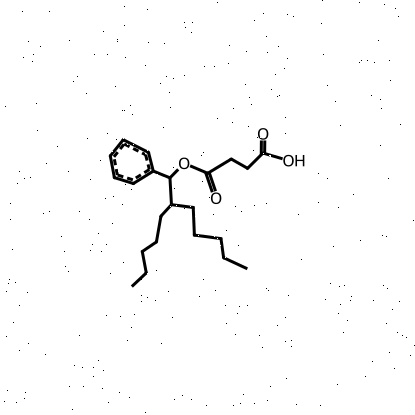 CCCCCC(CCCCC)C(OC(=O)CCC(=O)O)c1ccccc1